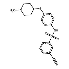 CN1CCC(Sc2ccc(NS(=O)(=O)c3cccc(C#N)c3)cc2)CC1